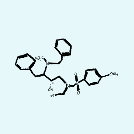 COc1ccc(S(=O)(=O)N(CC(C)C)C[C@H](O)C(Cc2ccccc2)N(Cc2ccccc2)C(=O)O)cc1